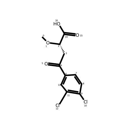 CO[C@@H](CC(=O)c1ccc(Cl)c(Cl)c1)C(=O)O